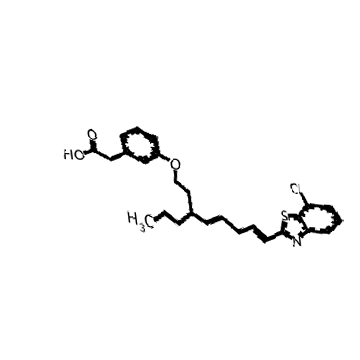 CCCC(CCC/C=C/c1nc2cccc(Cl)c2s1)CCOc1cccc(CC(=O)O)c1